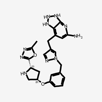 Cc1nnc([C@@H]2C[C@@H](Oc3cccc(Cn4cc(Cc5cc(N)nc6c5NNN6)cn4)c3)CN2)o1